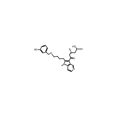 C[C@H](CC(=O)c1c(CCCCOCc2cccc(C#N)c2)n(C)c2ccncc12)CC(O)O